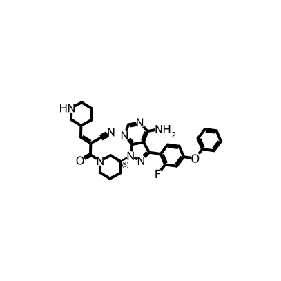 N#CC(=CC1CCCNC1)C(=O)N1CCC[C@H](n2nc(-c3ccc(Oc4ccccc4)cc3F)c3c(N)ncnc32)C1